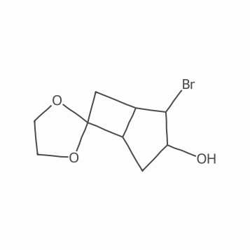 OC1CC2C(CC23OCCO3)C1Br